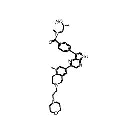 Cc1cc(-c2cnc3[nH]cc(-c4ccc(C(=O)N(C)C[C@H](C)O)cc4)c3n2)cc2c1CCN(CCN1CCOCC1)C2